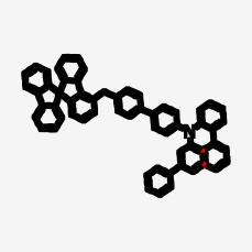 c1ccc(-c2cccc(N(c3ccc(-c4ccc(Cc5cccc6c5-c5ccccc5C65c6ccccc6-c6ccccc65)cc4)cc3)c3ccccc3-c3ccccc3)c2)cc1